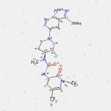 CNc1n[nH]c2ncc(N3CC[C@H](N(C)C(=O)Nc4cc(C(F)(F)F)cn(C)c4=O)[C@H](F)C3)cc12